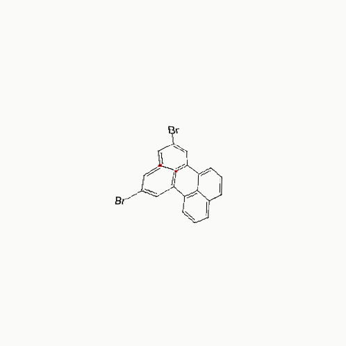 Brc1cccc(-c2cccc3cccc(-c4cccc(Br)c4)c23)c1